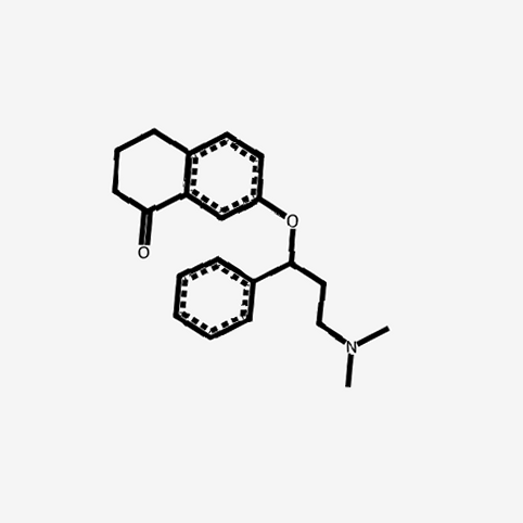 CN(C)CCC(Oc1ccc2c(c1)C(=O)CCC2)c1ccccc1